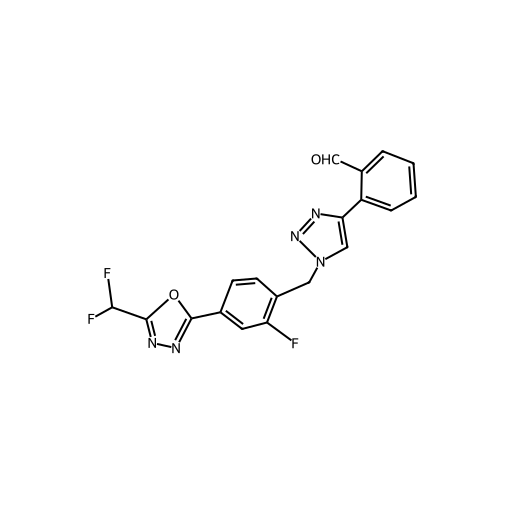 O=Cc1ccccc1-c1cn(Cc2ccc(-c3nnc(C(F)F)o3)cc2F)nn1